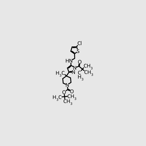 CC(C)(C)OC(=O)N1CCC(C)(c2cc(NCc3ccc(Cl)s3)n(C(=O)C(C)(C)C)n2)CC1